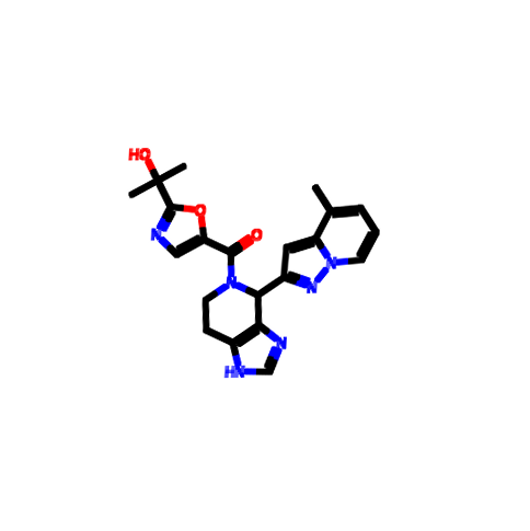 Cc1cccn2nc(C3c4nc[nH]c4CCN3C(=O)c3cnc(C(C)(C)O)o3)cc12